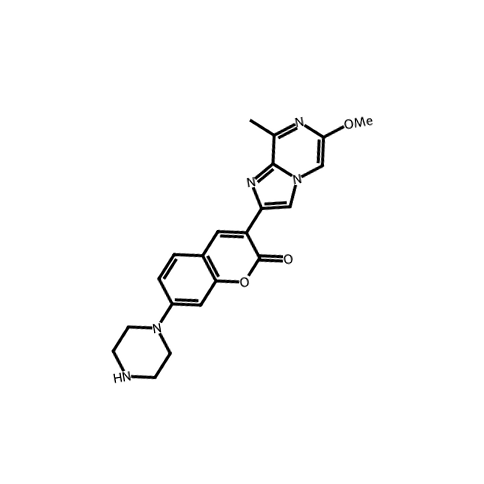 COc1cn2cc(-c3cc4ccc(N5CCNCC5)cc4oc3=O)nc2c(C)n1